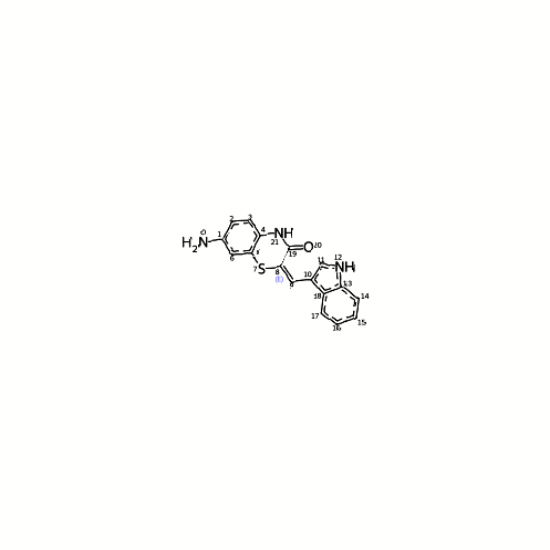 Nc1ccc2c(c1)S/C(=C/c1c[nH]c3ccccc13)C(=O)N2